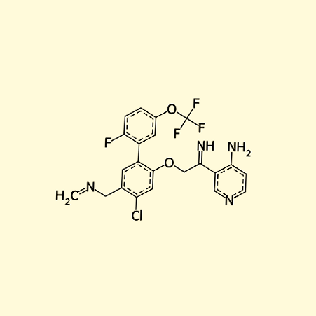 C=NCc1cc(-c2cc(OC(F)(F)F)ccc2F)c(OCC(=N)c2cnccc2N)cc1Cl